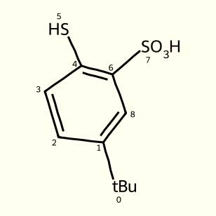 CC(C)(C)c1ccc(S)c(S(=O)(=O)O)c1